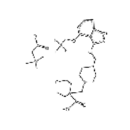 C[N+](C)(C)CC(=O)[O-].O=C(O)C1(CN2CCC(COc3noc4cccc(OCC(F)(F)F)c34)CC2)CCOCC1